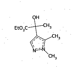 CCOC(=O)C(C)(O)c1cnn(C)c1C